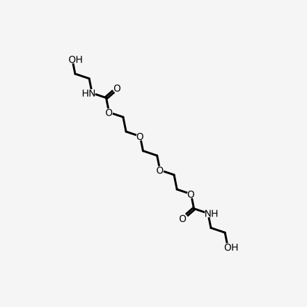 O=C(NCCO)OCCOCCOCCOC(=O)NCCO